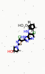 O=C(O)[C@@H]1[C@H](Nc2c(Cl)cnc3nc(-c4sc(N5CCC(O)C5)nc4Cl)[nH]c23)[C@H]2C=C[C@@H]1C2